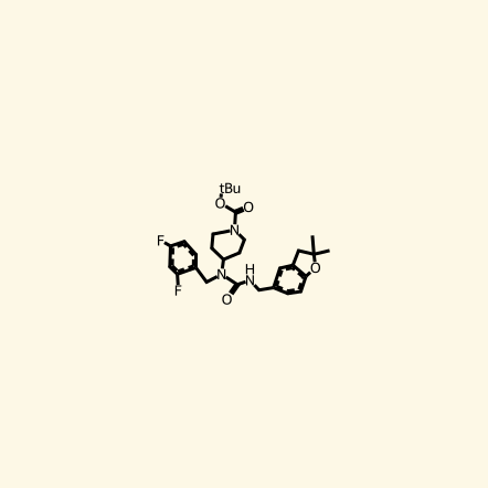 CC(C)(C)OC(=O)N1CCC(N(Cc2ccc(F)cc2F)C(=O)NCc2ccc3c(c2)CC(C)(C)O3)CC1